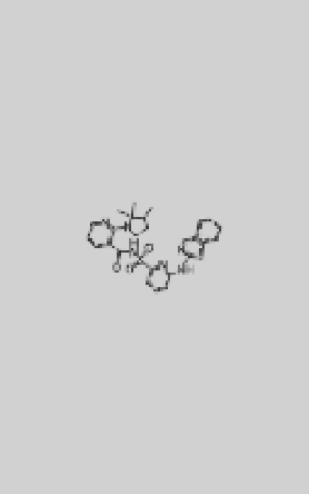 CC1CCN(c2ncccc2C(=O)NS(=O)(=O)c2cccc(Nc3cc4ccccc4cn3)n2)C1(C)C